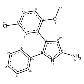 COc1cnc(Cl)nc1-c1sc(N)nc1-c1ccccc1